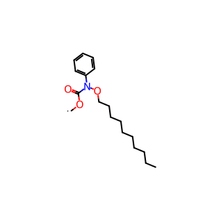 [CH2]OC(=O)N(OCCCCCCCCCC)c1ccccc1